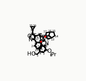 CC(C)Oc1cc(CO)cc2sc(NC3C4CCC3CC(OCc3c(-c5ccccc5OC(F)(F)F)noc3C3CC3)C4)nc12